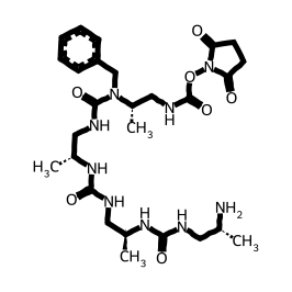 C[C@H](CNC(=O)N(Cc1ccccc1)[C@@H](C)CNC(=O)ON1C(=O)CCC1=O)NC(=O)NC[C@H](C)NC(=O)NC[C@@H](C)N